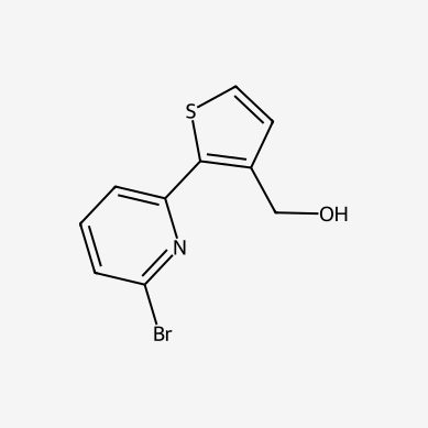 OCc1ccsc1-c1cccc(Br)n1